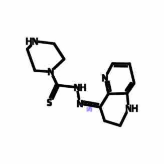 S=C(N/N=C1/CCNc2cccnc21)N1CCNCC1